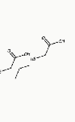 CCC.O=C(O)CS.O=C(O)CS